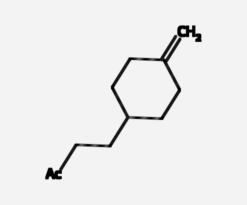 [CH2]C(=O)CCC1CCC(=C)CC1